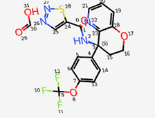 O=C(N[C@]1(c2ccc(OC(F)(F)F)cc2)CCOc2cccnc21)c1cnns1.O=CO